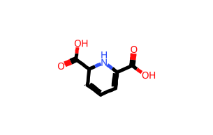 O=C(O)C1=CC=[C]C(C(=O)O)N1